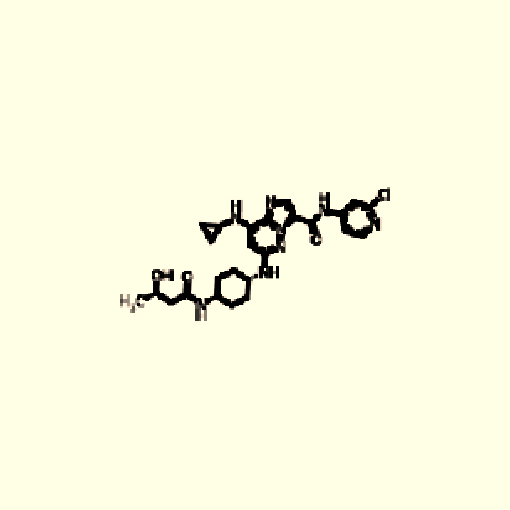 C[C@@H](O)CC(=O)N[C@H]1CC[C@H](Nc2cc(NC3CC3)c3ncc(C(=O)Nc4ccnc(Cl)c4)n3n2)CC1